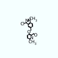 Cc1ccc(OCc2ccc3c(c2)c(Cl)nn3C)c(C=O)n1